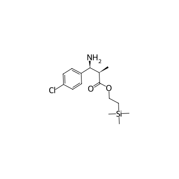 C[C@@H](C(=O)OCC[Si](C)(C)C)[C@H](N)c1ccc(Cl)cc1